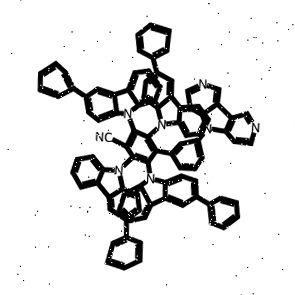 N#Cc1c(-n2c3ccccc3c3cc(-c4ccccc4)ccc32)c(-n2c3ccccc3c3cc(-c4ccccc4)ccc32)c(-c2cccc(-n3c4ccncc4c4cnccc43)c2)c(-n2c3ccccc3c3cc(-c4ccccc4)ccc32)c1-n1c2ccccc2c2cc(-c3ccccc3)ccc21